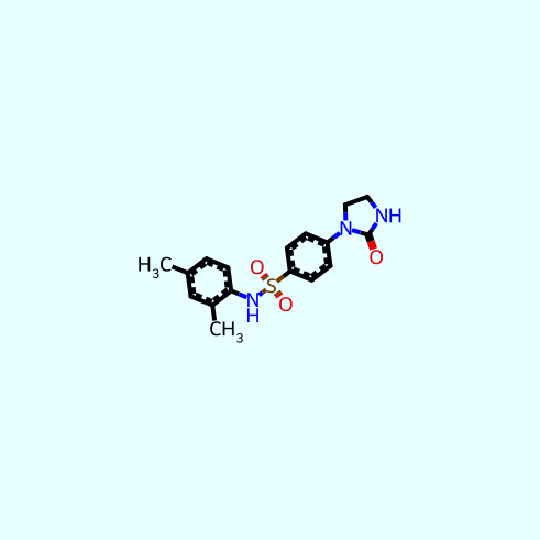 Cc1ccc(NS(=O)(=O)c2ccc(N3CCNC3=O)cc2)c(C)c1